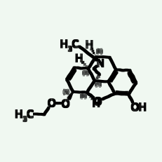 CCOO[C@H]1C=C[C@H]2[C@H]3Cc4ccc(O)c5c4[C@@]2(CCN3C)[C@H]1O5